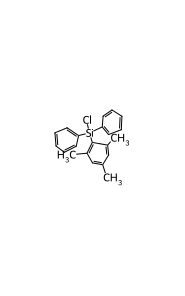 Cc1cc(C)c([Si](Cl)(c2ccccc2)c2ccccc2)c(C)c1